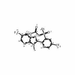 CCS(=O)(=NC(=O)OC)c1cc(C(F)(F)F)cnc1-c1nc2cc(C(F)(F)F)cnc2n1C